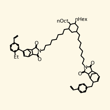 C=Cc1ccc(CC2C=CC3CC2C2C(=O)N(CCCCCCCCC4CC(CCCCCC)C(CCCCCCCC)C(CCCCCCCCN5C(=O)C6C7C=C(c8cc(C=C)ccc8CC)C(C7)C6C5=O)C4)C(=O)C32)cc1